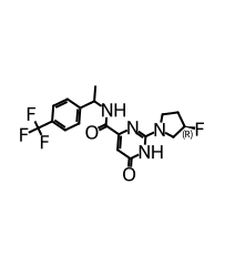 CC(NC(=O)c1cc(=O)[nH]c(N2CC[C@@H](F)C2)n1)c1ccc(C(F)(F)F)cc1